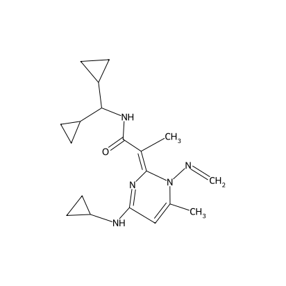 C=NN1C(C)=CC(NC2CC2)=N/C1=C(/C)C(=O)NC(C1CC1)C1CC1